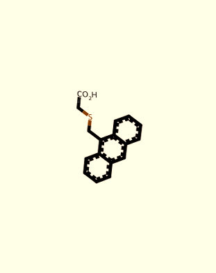 O=C(O)CSCc1c2ccccc2cc2ccccc12